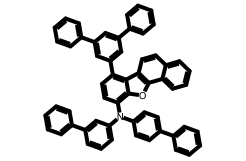 c1ccc(-c2ccc(N(c3cccc(-c4ccccc4)c3)c3ccc(-c4cc(-c5ccccc5)cc(-c5ccccc5)c4)c4c3oc3c5ccccc5ccc34)cc2)cc1